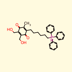 CC1=C(CCCCCC[PH](c2ccccc2)(c2ccccc2)c2ccccc2)C(=O)C(CO)=C(CO)C1=O